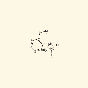 CCCCN.CCNCC.NCc1ccccc1